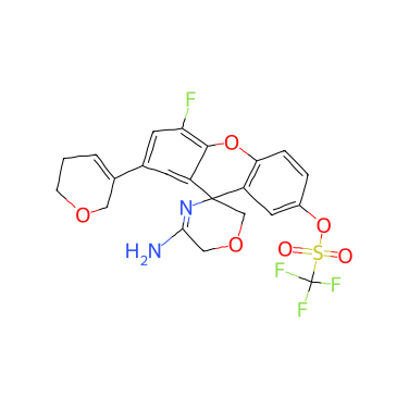 NC1=NC2(COC1)c1cc(OS(=O)(=O)C(F)(F)F)ccc1Oc1c(F)cc(C3=CCCOC3)cc12